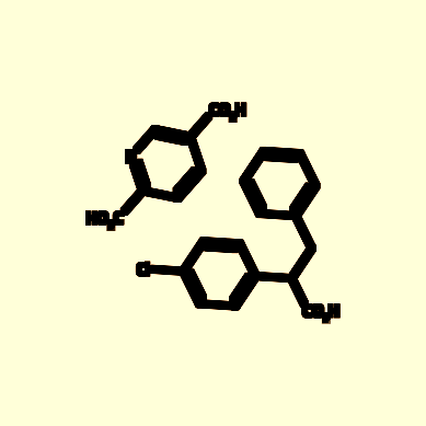 O=C(O)C(Cc1ccccc1)c1ccc(Cl)cc1.O=C(O)c1ccc(C(=O)O)nc1